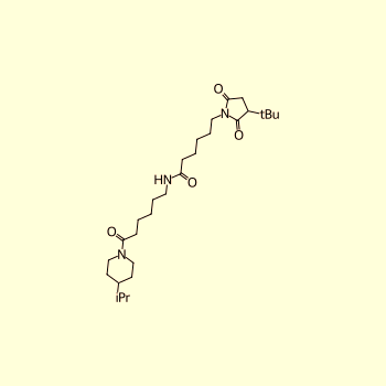 CC(C)C1CCN(C(=O)CCCCCNC(=O)CCCCCN2C(=O)CC(C(C)(C)C)C2=O)CC1